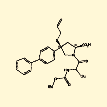 C=CCS[C@@]1(c2ccc(-c3ccccc3)cc2)C[C@@H](C(=O)O)N(C(=O)C(NC(=O)OC(C)(C)C)C(C)(C)C)C1